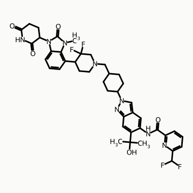 Cn1c(=O)n(C2CCC(=O)NC2=O)c2cccc(C3CCN(CC4CCC(n5cc6cc(NC(=O)c7cccc(C(F)F)n7)c(C(C)(C)O)cc6n5)CC4)CC3(F)F)c21